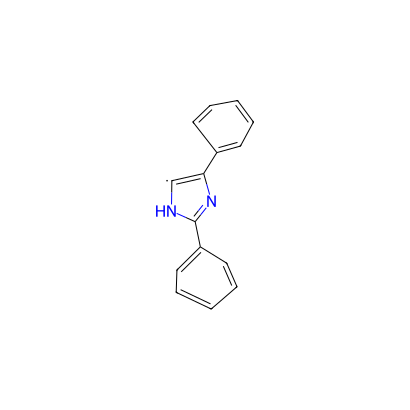 [c]1[nH]c(-c2ccccc2)nc1-c1ccccc1